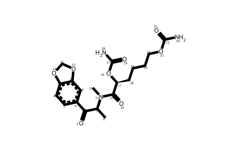 CC(C(=O)c1ccc2c(c1)OCO2)N(C)C(=O)[C@H](CCCCOC(N)=O)OC(N)=O